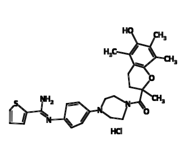 Cc1c(C)c2c(c(C)c1O)CCC(C)(C(=O)N1CCN(c3ccc(N=C(N)c4cccs4)cc3)CC1)O2.Cl